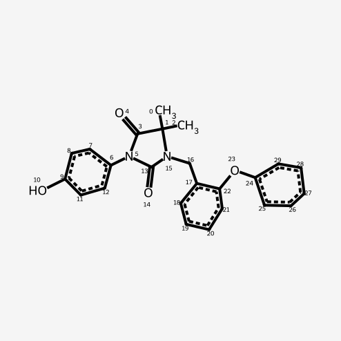 CC1(C)C(=O)N(c2ccc(O)cc2)C(=O)N1Cc1ccccc1Oc1ccccc1